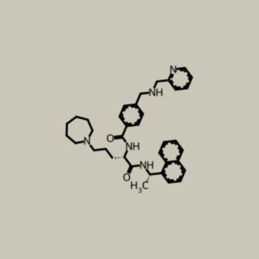 C[C@H](NC(=O)[C@H](CCCN1CCCCCC1)NC(=O)c1ccc(CNCc2ccccn2)cc1)c1cccc2ccccc12